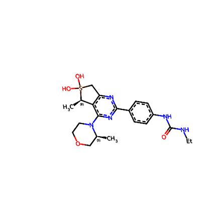 CCNC(=O)Nc1ccc(-c2nc3c(c(N4CCOC[C@@H]4C)n2)[C@@H](C)S(O)(O)C3)cc1